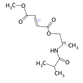 COC(=O)/C=C/C(=O)OC[C@H](C)NC(=O)C(C)C